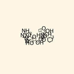 CC(NP(=O)(OC[C@H]1O[C@@](C#N)(c2ccc3c(N)ncnn23)[C@H](O)[C@@H]1O)Oc1ccccc1)(C(=O)O)C1CCC1